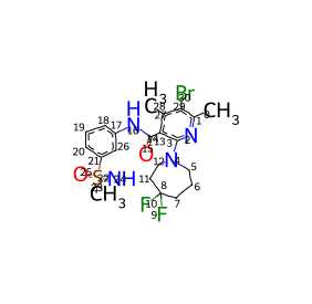 Cc1nc(N2CCCC(F)(F)CC2)c(C(=O)Nc2cccc(S(C)(=N)=O)c2)c(C)c1Br